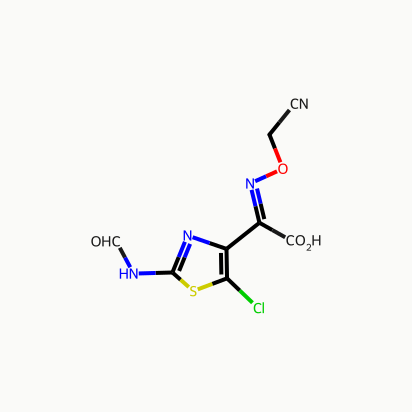 N#CCON=C(C(=O)O)c1nc(NC=O)sc1Cl